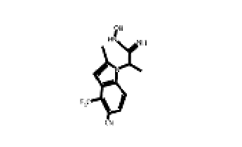 Cc1cc2c(C(F)(F)F)c(C#N)ccc2n1C(C)C(=N)NO